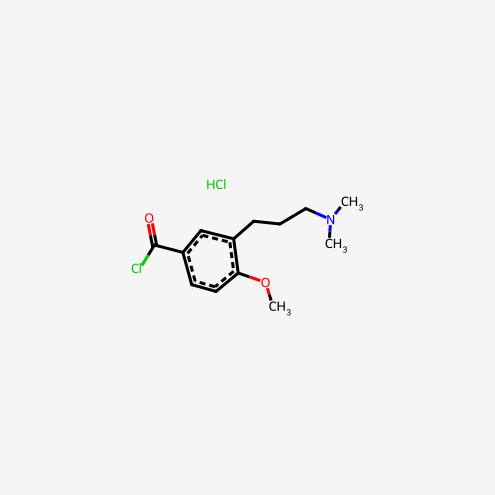 COc1ccc(C(=O)Cl)cc1CCCN(C)C.Cl